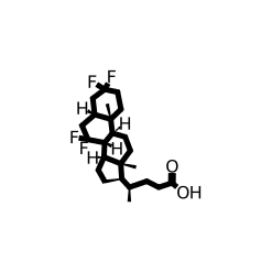 C[C@H](CCC(=O)O)[C@H]1CC[C@H]2[C@H]3[C@H](CC[C@]12C)[C@@]1(C)CCC(F)(F)C[C@H]1CC3(F)F